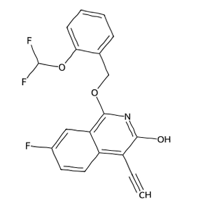 C#Cc1c(O)nc(OCc2ccccc2OC(F)F)c2cc(F)ccc12